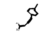 CC(=O)C(=CC#Cc1ccc(C)cc1)C(C)=O